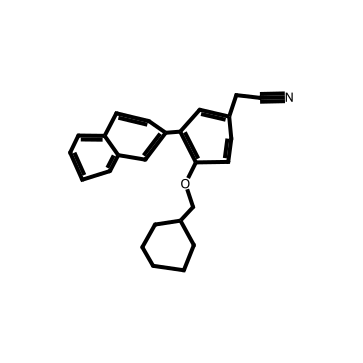 N#CCc1ccc(OCC2CCCCC2)c(-c2ccc3ccccc3c2)c1